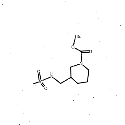 CC(C)(C)OC(=O)N1CCCC(CNS(C)(=O)=O)C1